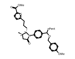 CCCCCC(OCc1ccc(OC)cc1)c1ccc(N2C(=O)C[C@@H](C)[C@@H]2CCCc2ccc(C(=O)OC)s2)cc1